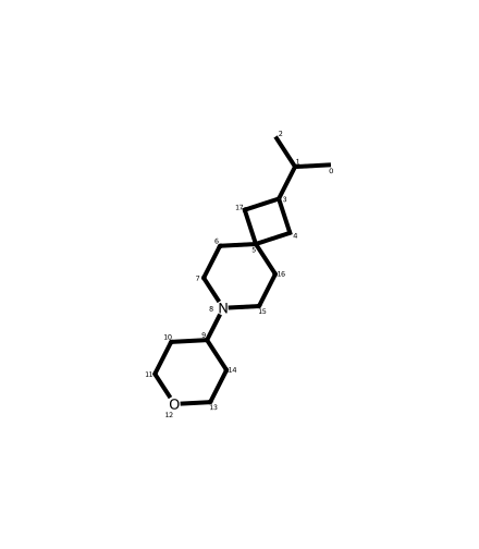 CC(C)C1CC2(CCN(C3CCOCC3)CC2)C1